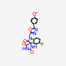 COc1ccc(-c2nnc(CN3C(=O)C4(NC(=O)NC4=O)c4cc(F)ccc43)o2)cc1